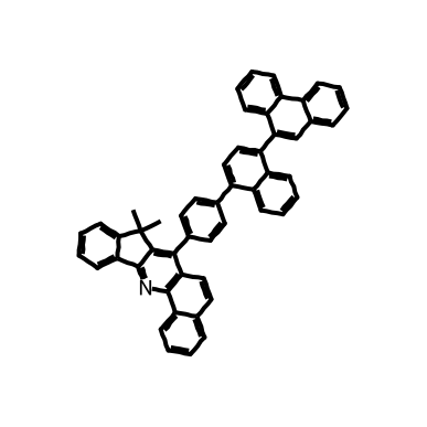 CC1(C)c2ccccc2-c2nc3c(ccc4ccccc43)c(-c3ccc(-c4ccc(-c5cc6ccccc6c6ccccc56)c5ccccc45)cc3)c21